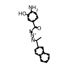 CC(N=[N+]=NC(=O)c1ccc(N)c(O)c1)c1ccc2ccccc2c1